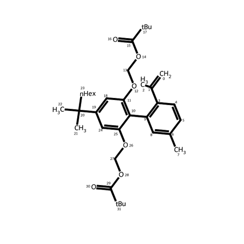 C=C(C)c1ccc(C)cc1-c1c(OCOC(=O)C(C)(C)C)cc(C(C)(C)CCCCCC)cc1OCOC(=O)C(C)(C)C